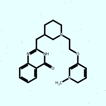 CN1C=C(OCCN2CCCC(Cc3nc4ccccc4c(=O)[nH]3)C2)C=CC1